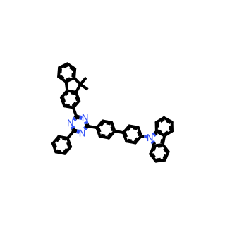 CC1(C)c2ccccc2-c2ccc(-c3nc(-c4ccccc4)nc(-c4ccc(-c5ccc(-n6c7ccccc7c7ccccc76)cc5)cc4)n3)cc21